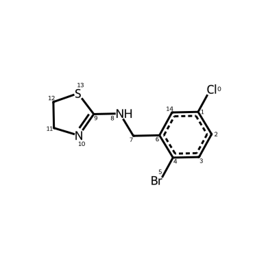 Clc1ccc(Br)c(CNC2=NCCS2)c1